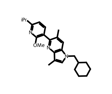 COc1nc(C(C)C)ccc1-c1nc2c(C)cn(CC3CCCCC3)c2cc1C